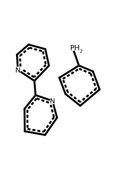 Pc1ccccc1.c1ccc(-c2ccccn2)nc1